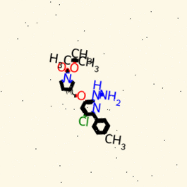 Cc1ccc(-c2nc(NN)c(OC[C@@H]3CCN(C(=O)OC(C)(C)C)C3)cc2Cl)cc1